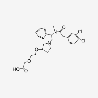 CN(C(=O)Cc1ccc(Cl)c(Cl)c1)C(CN1CCC(OCCOCC(=O)O)C1)c1ccccc1